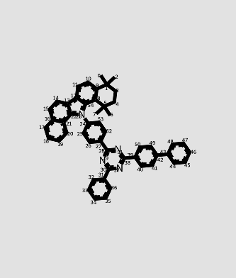 CC1(C)CCC(C)(C)c2c1ccc1c3ccc4ccccc4c3n(-c3ccc(-c4nc(-c5ccccc5)nc(-c5ccc(-c6ccccc6)cc5)n4)cc3)c21